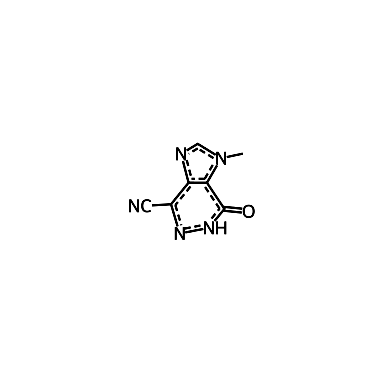 Cn1cnc2c(C#N)n[nH]c(=O)c21